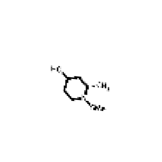 CSN1CCC(O)C[C@@H]1C